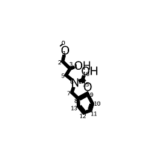 COCC(O)CN(Cc1ccccc1)C(=O)O